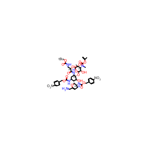 C=C(C)OC(=O)N(C)[C@@H]1[C@@H](O)[C@@H](O[C@H]2[C@H](NC(=O)[C@H](O)CNC(=O)OC(C)(C)C)C[C@H](NC(=O)OCc3ccc([N+](=O)[O-])cc3)C([C@H]3OC(CN)=CC[C@H]3NC(=O)OCc3ccc([N+](=O)[O-])cc3)[C@@H]2O)OC[C@]1(C)O